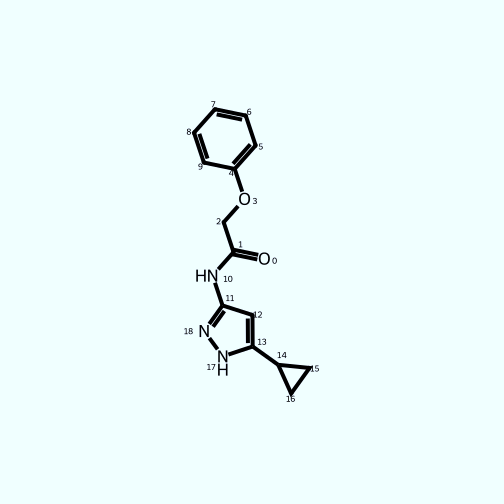 O=C(COc1ccccc1)Nc1cc(C2CC2)[nH]n1